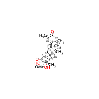 CO[C@@]1(O)C(=O)C=C2C(=C3C=C4[C@@]23CC[C@@]2(C)[C@@H]3C[C@@H](C)C(=O)C[C@]3(C)CC[C@]42C)[C@]1(C)O